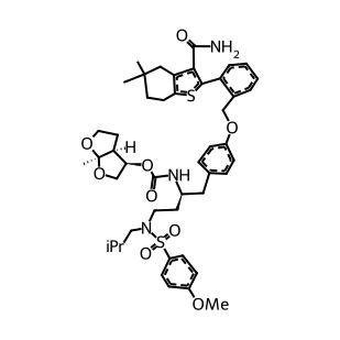 COc1ccc(S(=O)(=O)N(CC[C@H](Cc2ccc(OCc3ccccc3-c3sc4c(c3C(N)=O)CC(C)(C)CC4)cc2)NC(=O)O[C@H]2CO[C@@]3(C)OCC[C@@H]23)CC(C)C)cc1